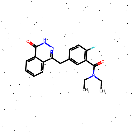 CCN(CC)C(=O)c1cc(Cc2n[nH]c(=O)c3ccccc23)ccc1F